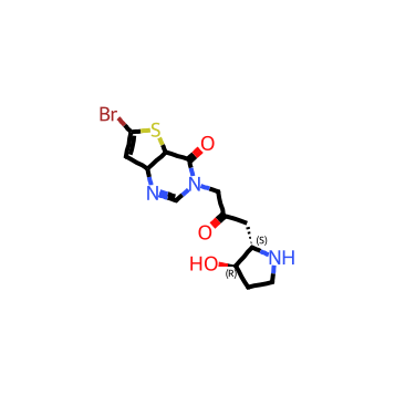 O=C(C[C@@H]1NCC[C@H]1O)CN1C=NC2C=C(Br)SC2C1=O